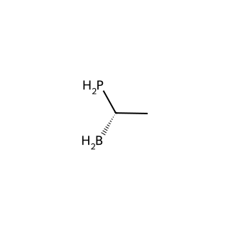 B[C@@H](C)P